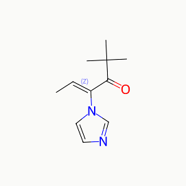 C/C=C(/C(=O)C(C)(C)C)n1ccnc1